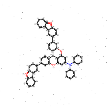 c1ccc(N(c2ccccc2)c2cc3c4c(c2)Oc2cc(-c5ccc6oc7ccccc7c6c5)ccc2B4c2ccc(-c4ccc5oc6ccccc6c5c4)cc2O3)cc1